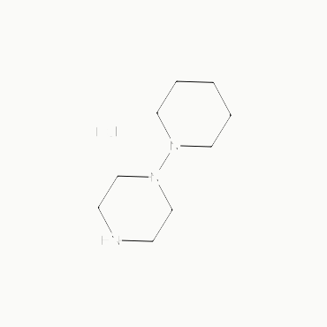 C1CCN(N2CCNCC2)CC1.Cl